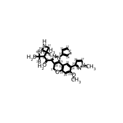 BC(B)(B)C(C(=O)c1nn(-c2ccsc2)c2c1COc1cc(OC)c(-c3ccn(C)n3)cc1-2)C1(C)CNC1